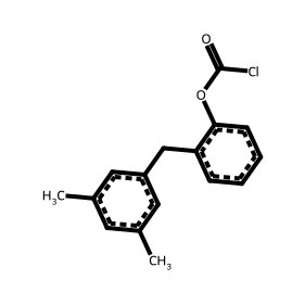 Cc1cc(C)cc(Cc2ccccc2OC(=O)Cl)c1